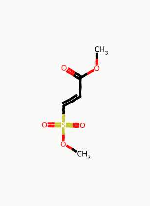 COC(=O)C=CS(=O)(=O)OC